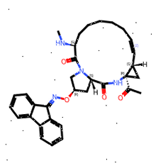 CN[C@H]1CCCCC/C=C\[C@@H]2C[C@@]2(C(C)=O)NC(=O)[C@@H]2C[C@@H](ON=C3c4ccccc4-c4ccccc43)CN2C1=O